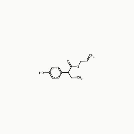 C=CCOC(=O)C(C=C)c1ccc(O)cc1